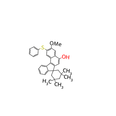 COc1cc2c(O)cc3c(c2cc1Sc1ccccc1)-c1ccccc1C31CC(C)(C)CC(C)(C)C1